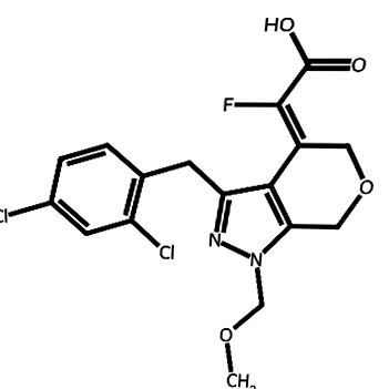 COCn1nc(Cc2ccc(Cl)cc2Cl)c2c1COC/C2=C(/F)C(=O)O